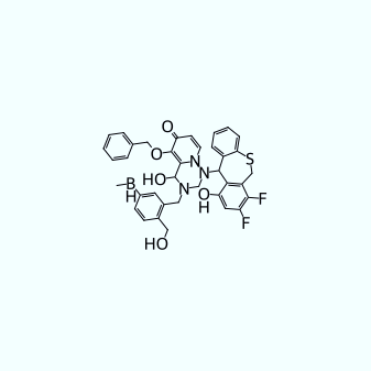 CBc1ccc(CO)c(CN2CN(C3c4ccccc4SCc4c(F)c(F)cc(O)c43)n3ccc(=O)c(OCc4ccccc4)c3C2O)c1